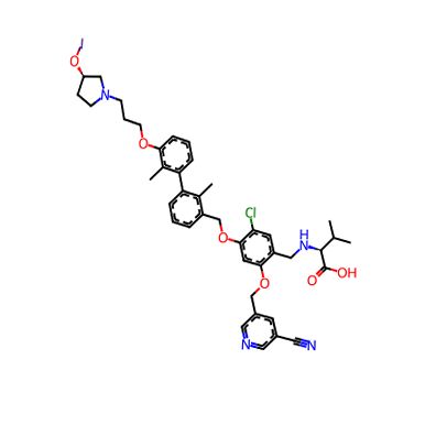 Cc1c(COc2cc(OCc3cncc(C#N)c3)c(CN[C@H](C(=O)O)C(C)C)cc2Cl)cccc1-c1cccc(OCCCN2CC[C@@H](OI)C2)c1C